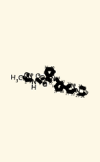 Cc1cc(NC(=O)CS(=O)(=O)c2cn(Cc3cccc(-c4ccc(N5CCOCC5)nc4)c3)c3ccccc23)no1